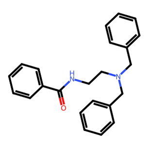 O=C(NCCN(Cc1ccccc1)Cc1ccccc1)c1ccccc1